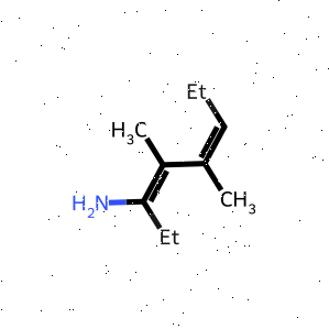 CC/C=C(C)\C(C)=C(\N)CC